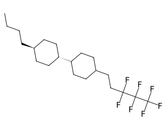 CCCC[C@H]1CC[C@H](C2CCC(CCC(F)(F)C(F)(F)C(F)(F)F)CC2)CC1